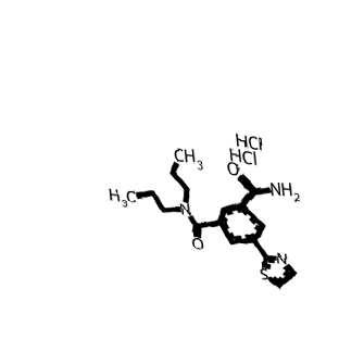 CCCN(CCC)C(=O)c1cc(C(N)=O)cc(-c2nccs2)c1.Cl.Cl